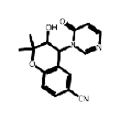 CC1(C)Oc2ccc(C#N)cc2C(n2cnccc2=O)C1O